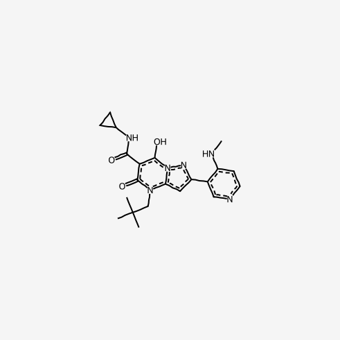 CNc1ccncc1-c1cc2n(CC(C)(C)C)c(=O)c(C(=O)NC3CC3)c(O)n2n1